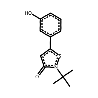 CC(C)(C)n1sc(-c2cccc(O)c2)cc1=O